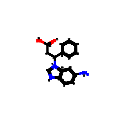 Nc1ccc2ncn(C(CC(=O)O)c3ccccc3)c2c1